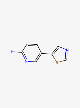 Ic1ccc(-c2cncs2)cn1